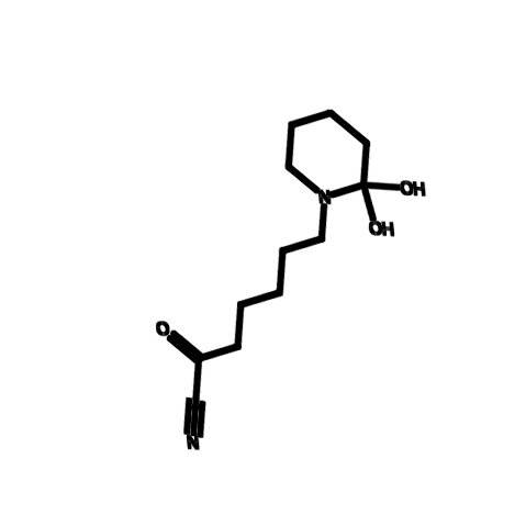 N#CC(=O)CCCCCN1CCCCC1(O)O